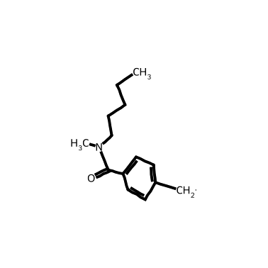 [CH2]c1ccc(C(=O)N(C)CCCCC)cc1